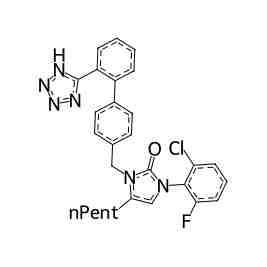 CCCCCc1cn(-c2c(F)cccc2Cl)c(=O)n1Cc1ccc(-c2ccccc2-c2nnn[nH]2)cc1